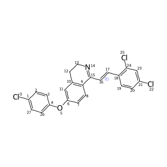 Clc1ccc(Oc2ccc3c(c2)CCN=C3/C=C/c2ccc(Cl)cc2Cl)cc1